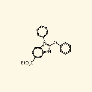 CCOC(=O)c1ccc2c(c1)nc(Oc1ccccc1)n2-c1ccccc1